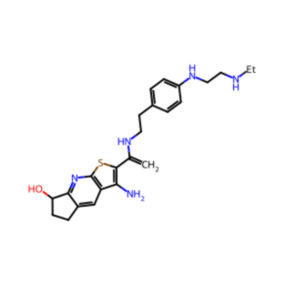 C=C(NCCc1ccc(NCCNCC)cc1)c1sc2nc3c(cc2c1N)CCC3O